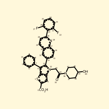 O=C(O)c1cc2c(s1)c(-c1ccccc1)c(-c1ccc3nc(-c4c(F)cccc4F)ccc3c1)n2CC(=O)N1CCC(O)CC1